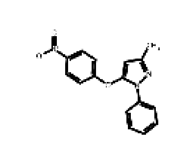 Cc1cc(Oc2ccc([N+](=O)[O-])cc2)n(-c2ccccc2)n1